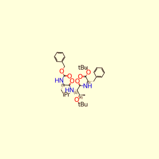 CC(C)C[C@H](NC(=O)OCc1ccccc1)C(=O)N[C@H](C(=O)N[C@@H](Cc1ccccc1)C(=O)OC(C)(C)C)[C@@H](C)OC(C)(C)C